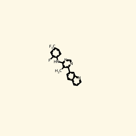 Cc1c(Nc2ccc(C(F)(F)F)cc2F)ncnc1-c1ccc2cccnc2c1